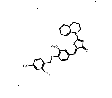 COc1cc(C=C2SC(N3CCCC4CCCC=C43)=NC2=O)ccc1OCc1ccc(C(F)(F)F)cc1C(F)(F)F